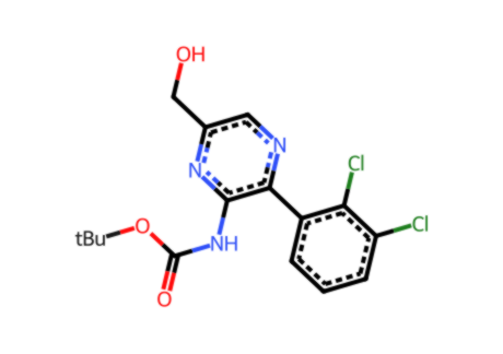 CC(C)(C)OC(=O)Nc1nc(CO)cnc1-c1cccc(Cl)c1Cl